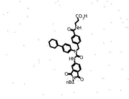 CCCCN1C(=O)c2ccc(NC(=O)N(Cc3ccc(C(=O)NCCC(=O)O)cc3)c3ccc(C4=CCCCC4)cc3)cc2C1=O